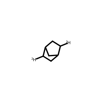 [2H]C1CC2CC1CC2[2H]